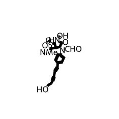 CNC1(C(C(=O)NO)N(C=O)c2ccc(C#CC#CCCO)cc2)CS(=O)(=O)C1